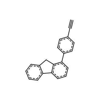 C#Cc1ccc(-c2cccc3c2[CH]c2ccccc2-3)cc1